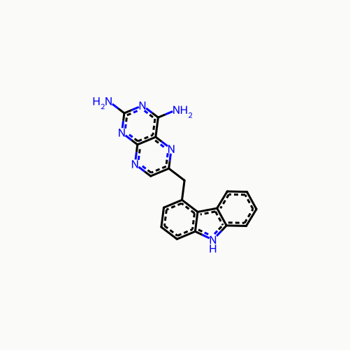 Nc1nc(N)c2nc(Cc3cccc4[nH]c5ccccc5c34)cnc2n1